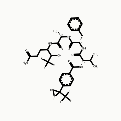 CC(C)[C@H](NC(=O)c1ccc(C2(C(F)(F)F)NN2)cc1)C(=O)N[C@@H](Cc1ccccc1)C(=O)N[C@@H](C)C(=O)NC(CCC(N)=O)C(O)C(F)(F)F